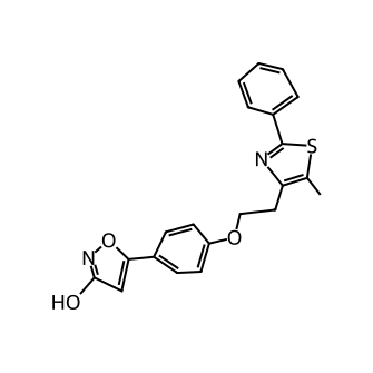 Cc1sc(-c2ccccc2)nc1CCOc1ccc(-c2cc(O)no2)cc1